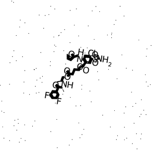 C[C@@H](COC(=O)CCCOC(=O)c1cc(S(N)(=O)=O)c(Cl)cc1NCc1ccco1)N[C@H](C)C(=O)c1cc(F)cc(F)c1